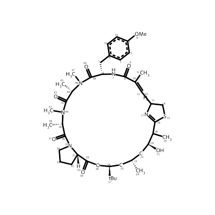 COc1ccc(C[C@@H]2NC(=O)/C(C)=C/[C@H]3CSC(=N3)C(C)[C@@H](O)C[C@H](C)C[C@@H](C(C)(C)C)OC(=O)[C@@H]3CCCN3C(=O)[C@H](C)N(C)C(=O)[C@H](C)N(C)C2=O)cc1